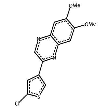 COc1cc2ncc(-c3csc(Cl)c3)nc2cc1OC